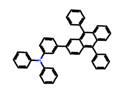 c1ccc(-c2c3ccccc3c(-c3ccccc3)c3cc(-c4cccc(N(c5ccccc5)c5ccccc5)c4)ccc23)cc1